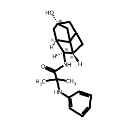 CC(C)(Nc1ccccc1)C(=O)N[C@H]1[C@@H]2CC3C[C@H]1C[C@](O)(C3)C2